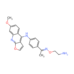 COc1ccc2c(Nc3ccc(C(C)=NOCCN)cc3)c3ccoc3nc2c1